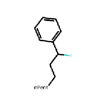 CCCCCCCC(F)c1[c]cccc1